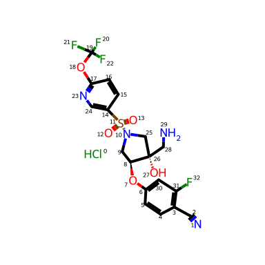 Cl.N#Cc1ccc(O[C@H]2CN(S(=O)(=O)c3ccc(OC(F)(F)F)nc3)C[C@@]2(O)CN)cc1F